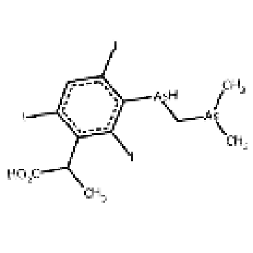 CC(C(=O)O)c1c(I)cc(I)c([AsH]C[As](C)C)c1I